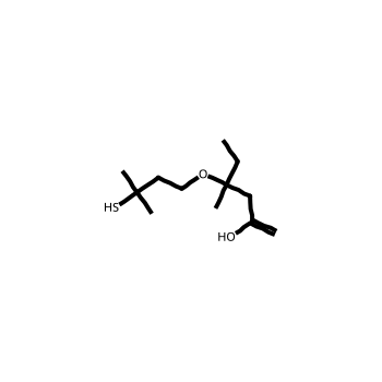 C=C(O)CC(C)(CC)OCCC(C)(C)S